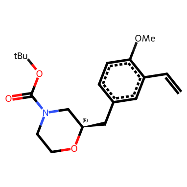 C=Cc1cc(C[C@@H]2CN(C(=O)OC(C)(C)C)CCO2)ccc1OC